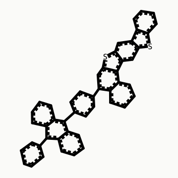 c1ccc(-c2c3ccccc3c(-c3ccc(-c4cc5sc6cc7c(cc6c5c5ccccc45)sc4ccccc47)cc3)c3ccccc23)cc1